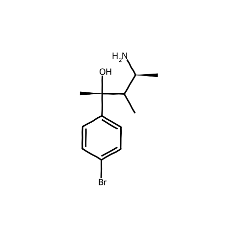 CC([C@H](C)N)[C@@](C)(O)c1ccc(Br)cc1